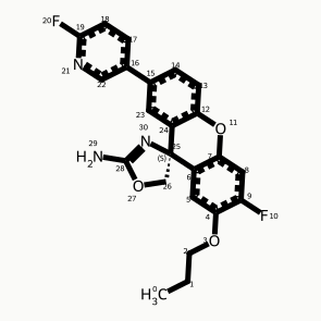 CCCOc1cc2c(cc1F)Oc1ccc(-c3ccc(F)nc3)cc1[C@@]21COC(N)=N1